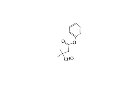 CC(C)(C=O)CC(=O)Oc1ccccc1